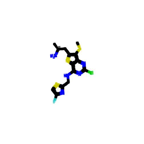 CSc1c(C[C@H](C)N)sc2c(NCc3nc(F)cs3)nc(Cl)nc12